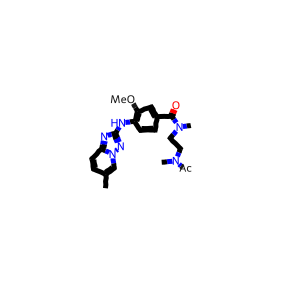 COc1cc(C(=O)N(C)CCN(C)C(C)=O)ccc1Nc1nc2ccc(C)cn2n1